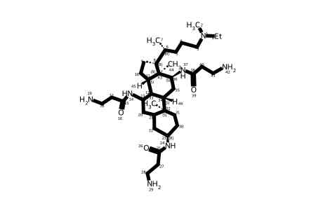 CCN(C)CCC[C@@H](C)[C@H]1CC[C@H]2C3C(NC(=O)CCN)CC4C[C@H](NC(=O)CCN)CC[C@]4(C)[C@H]3C[C@H](NC(=O)CCN)[C@]12C